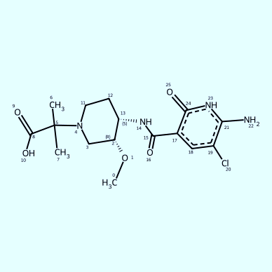 CO[C@@H]1CN(C(C)(C)C(=O)O)CC[C@@H]1NC(=O)c1cc(Cl)c(N)[nH]c1=O